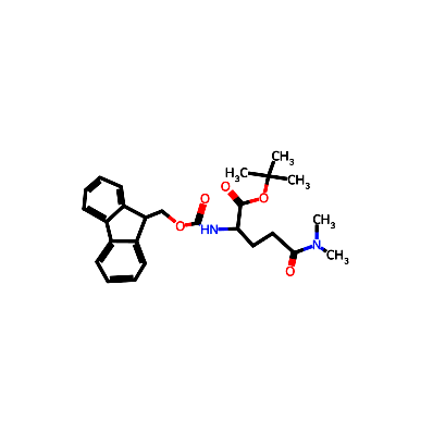 CN(C)C(=O)CCC(NC(=O)OCC1c2ccccc2-c2ccccc21)C(=O)OC(C)(C)C